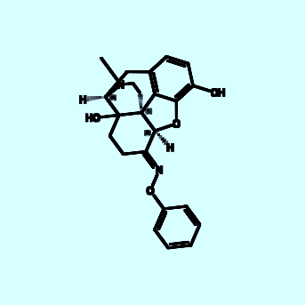 CN1CC[C@]23c4c5ccc(O)c4O[C@H]2C(=NOc2ccccc2)CCC3(O)[C@H]1C5